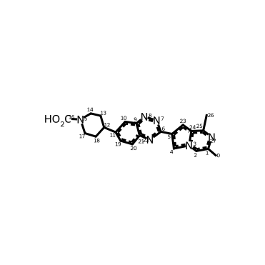 Cc1cn2cc(-c3nnc4cc(C5CCN(C(=O)O)CC5)ccc4n3)cc2c(C)n1